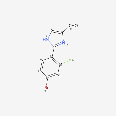 O=Cc1c[nH]c(-c2ccc(Br)cc2F)n1